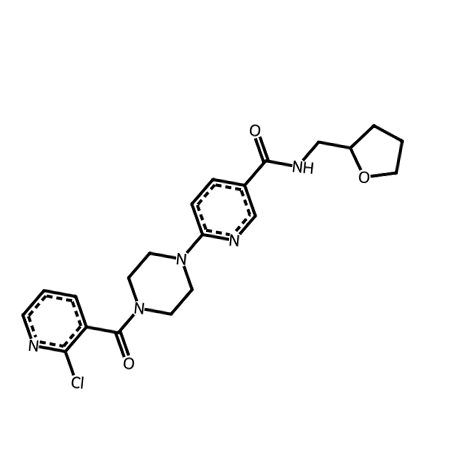 O=C(NCC1CCCO1)c1ccc(N2CCN(C(=O)c3cccnc3Cl)CC2)nc1